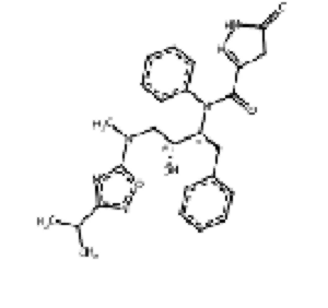 CC(C)c1noc(N(C)C[C@@H](O)[C@H](Cc2ccccc2)N(C(=O)C2=NNC(=O)C2)c2ccccc2)n1